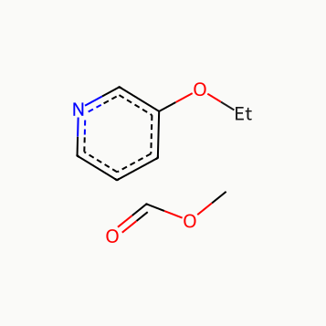 CCOc1cccnc1.COC=O